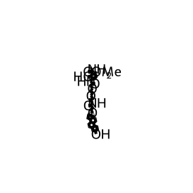 COc1ccc(NC(=O)COCCOCCNC(=O)CCO[C@@H]2CCC3C4CCc5cc(O)ccc5C4CCC32C)c(O)c1C(N)=O